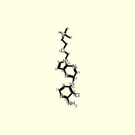 C[Si](C)(C)CCOCn1ccc2nc(Sc3ccnc(N)c3Cl)cnc21